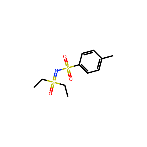 CCS(=O)(CC)=NS(=O)(=O)c1ccc(C)cc1